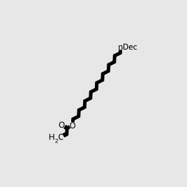 C=CC(=O)OCCCCCCCCCCCCCCCCCCCCCCCCCC